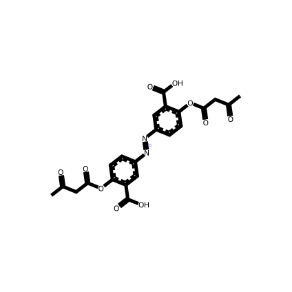 CC(=O)CC(=O)Oc1ccc(/N=N/c2ccc(OC(=O)CC(C)=O)c(C(=O)O)c2)cc1C(=O)O